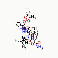 CC(C)OC(=O)OC[C@@H](NC(=O)N[C@H](C(=O)N1C[C@H]2[C@@H]([C@H]1C(=O)NC(CC1CC1)C(=O)C(N)=O)C2(C)C)C(C)(C)C)C1CCCC1